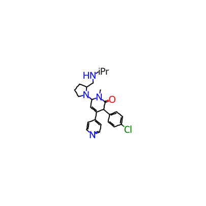 CC(C)NCC1CCCN1C1C=C(c2ccncc2)C(c2ccc(Cl)cc2)C(=O)N1C